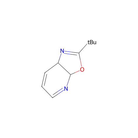 CC(C)(C)C1=NC2C=CC=NC2O1